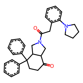 O=C1CCC(c2ccccc2)(c2ccccc2)C2CN(C(=O)Cc3ccccc3N3CCCC3)CC12